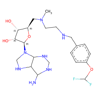 CN(CCNCc1ccc(OC(F)F)cc1)C[C@H]1O[C@@H](N2CNC3C(N)NCNC32)[C@H](O)[C@@H]1O